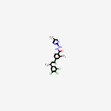 O=C(NNc1ncc(C(F)(F)F)cn1)c1ccc(C(F)=CC(c2cc(Cl)c(Cl)c(Cl)c2)C(F)(F)F)cc1C(F)(F)F